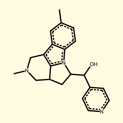 Cc1ccc2c(c1)c1c3n2C(C(O)c2ccncc2)CC3CN(C)C1